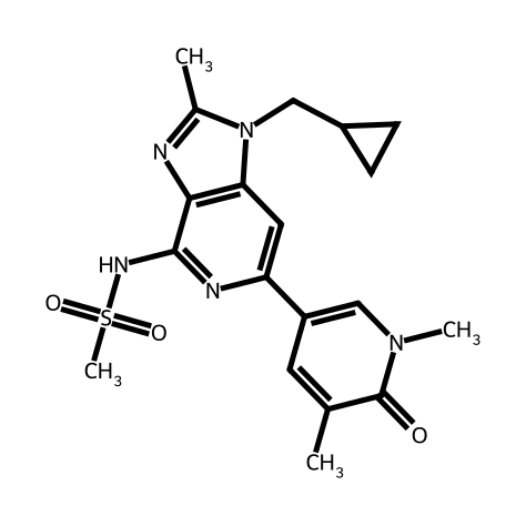 Cc1cc(-c2cc3c(nc(C)n3CC3CC3)c(NS(C)(=O)=O)n2)cn(C)c1=O